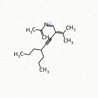 C=C(C)/N=C\C(C#CC(CCC)CCC)=C(C)C